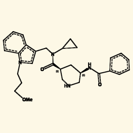 COCCCn1cc(CN(C(=O)[C@@H]2CNC[C@H](NC(=O)c3ccccc3)C2)C2CC2)c2ccccc21